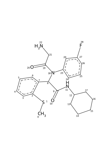 CSc1ccccc1C(C(=O)NC1CCCCC1)N(C(=O)CN)c1cccc(F)c1